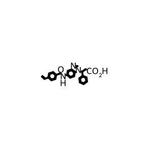 C=Cc1ccc(C(=O)Nc2ccc3c(c2)ncn3C(CC(=O)O)c2ccccc2)cc1